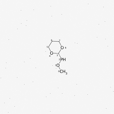 COPC1OCCCO1